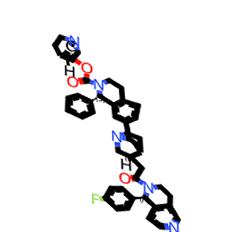 O=C(C[C@@H]1CN2CCC1CC2c1ccc2c(c1)[C@H](c1ccccc1)N(C(=O)O[C@H]1CN3CCC1CC3)CC2)N1CCc2cnccc2[C@H]1c1ccc(F)cc1